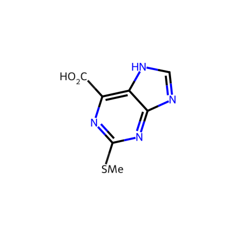 CSc1nc(C(=O)O)c2[nH]cnc2n1